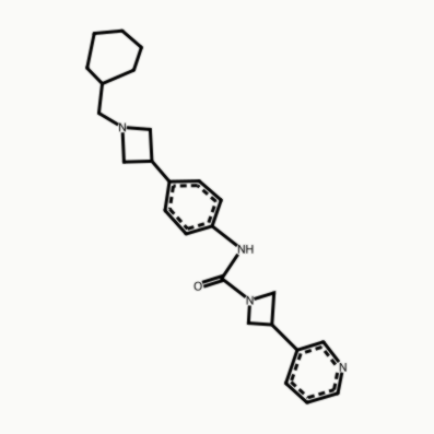 O=C(Nc1ccc(C2CN(CC3CCCCC3)C2)cc1)N1CC(c2cccnc2)C1